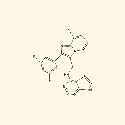 Cc1cccn2c(C(C)Nc3ncnc4[nH]cnc34)c(-c3cc(F)cc(F)c3)nc12